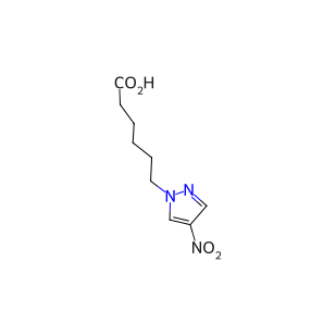 O=C(O)CCCCCn1cc([N+](=O)[O-])cn1